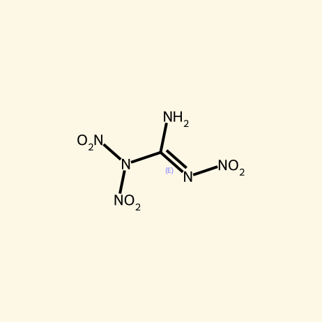 N/C(=N\[N+](=O)[O-])N([N+](=O)[O-])[N+](=O)[O-]